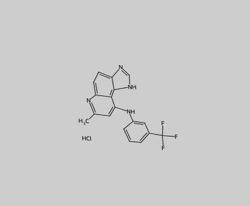 Cc1cc(Nc2cccc(C(F)(F)F)c2)c2c(ccc3nc[nH]c32)n1.Cl